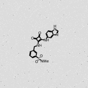 CNS(=O)(=O)c1cccc(CNc2c(Nc3ccc4[nH]cnc4c3)c(=O)c2=O)c1